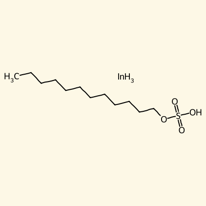 CCCCCCCCCCCCOS(=O)(=O)O.[InH3]